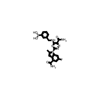 Cc1cc2c(C(N)=O)cc(F)cc2n1-c1nnc(C(N)=O)c(NCc2cccc(B(O)O)c2)n1